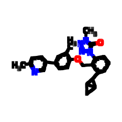 Cc1ccc(-c2ccc(OCc3c(C4C5CC54)cccc3-n3nnn(C)c3=O)c(C)c2)cn1